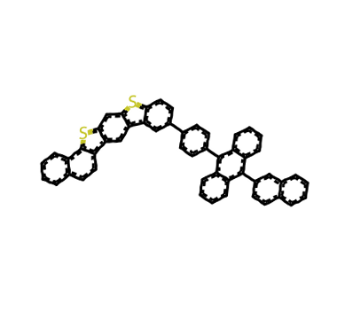 c1ccc2cc(-c3c4ccccc4c(-c4ccc(-c5ccc6sc7cc8sc9c%10ccccc%10ccc9c8cc7c6c5)cc4)c4ccccc34)ccc2c1